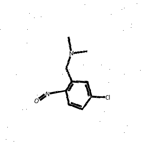 CN(C)Cc1cc(Cl)ccc1N=O